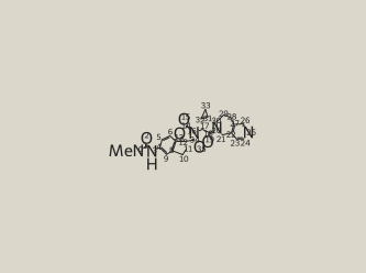 CNC(=O)Nc1ccc2c(c1)CC[C@@]21OC(=O)N(CC(=O)N2Cc3ccncc3CC[C@H]2C2CC2)C1=O